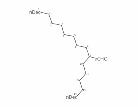 CCCCCCCCCCCCCCCCCC([C]=O)CCCCCCCCCCCCCC